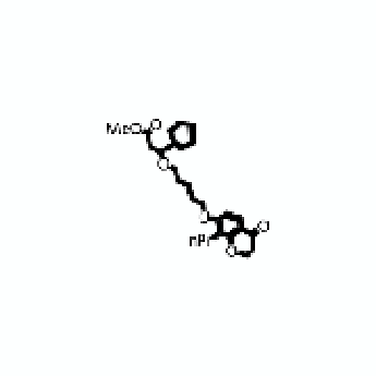 CCCc1c(OCCCCCOC(CC(=O)OC)c2ccccc2)ccc2c1OCCC2=O